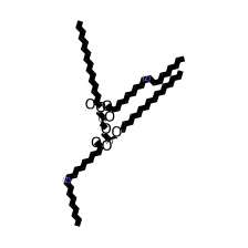 CCCCCCCC/C=C\CCCCCCCC(=O)O[C@H](COCCCCCCCCCCCCCCCC)COC[C@@H](COC(=O)CCCCCCCCCCCCCCC)OC(=O)CCCCCCC/C=C\CCCCCCCC